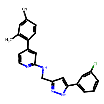 Cc1cc(C#N)ccc1-c1ccnc(NCc2cc(-c3cccc(Cl)c3)[nH]n2)c1